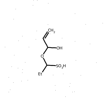 C=CC(O)OC(CC)S(=O)(=O)O